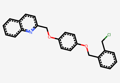 ClCc1ccccc1COc1ccc(OCc2ccc3ccccc3n2)cc1